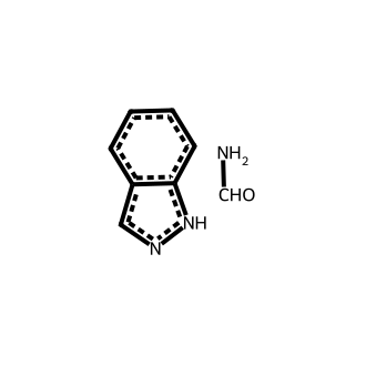 NC=O.c1ccc2[nH]ncc2c1